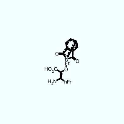 CCCC(N)=C(OCC)C(=O)O.O=C1c2cc3ccc2c(=O)n31